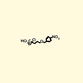 O=C(O)C(Cl)(Br)CCCOCc1ccc([N+](=O)[O-])cc1